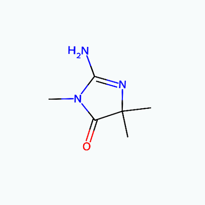 CN1C(=O)C(C)(C)N=C1N